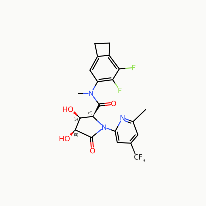 Cc1cc(C(F)(F)F)cc(N2C(=O)[C@@H](O)[C@@H](O)[C@H]2C(=O)N(C)c2cc3c(c(F)c2F)CC3)n1